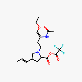 CC=CC1CC(C(=O)OC(=O)C(F)(F)F)N(CCC(=COCC)NC(C)=O)C1